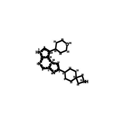 c1[nH]c2ncc3nc(C4CCC5(CC4)CNC5)cn3c2c1C1CCOCC1